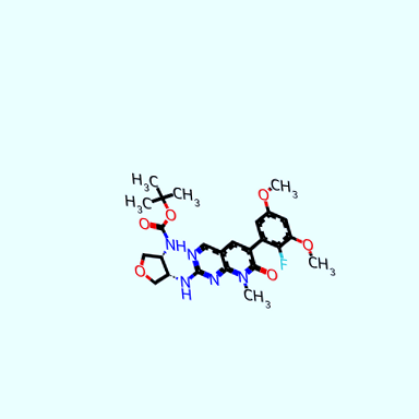 COc1cc(OC)c(F)c(-c2cc3cnc(N[C@@H]4COC[C@@H]4NC(=O)OC(C)(C)C)nc3n(C)c2=O)c1